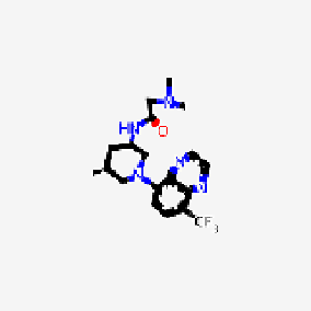 C[C@H]1C[C@@H](NC(=O)CN(C)C)CN(c2ccc(C(F)(F)F)c3nccnc23)C1